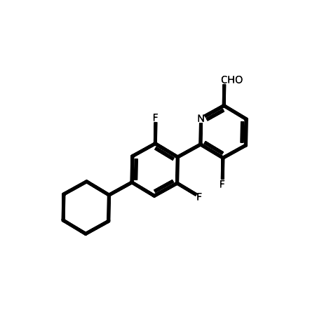 O=Cc1ccc(F)c(-c2c(F)cc(C3CCCCC3)cc2F)n1